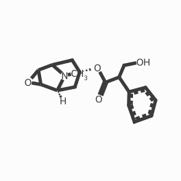 CN1C2C[C@H](OC(=O)C(CO)c3ccccc3)C[C@H]1C1OC12